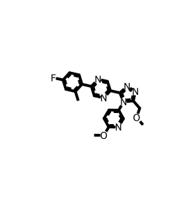 COCc1nnc(-c2cnc(-c3ccc(F)cc3C)cn2)n1-c1ccc(OC)nc1